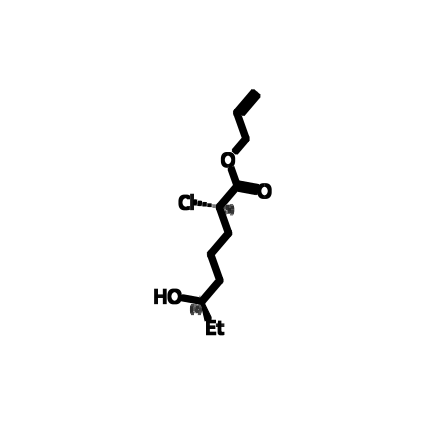 C=CCOC(=O)[C@@H](Cl)CCC[C@H](O)CC